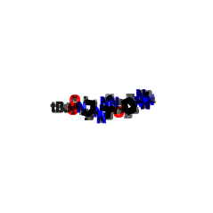 CC(C)(C)OC(=O)N1CCC(n2ncc3c(Oc4ccc(-n5ncnn5)cc4)ncnc32)CC1